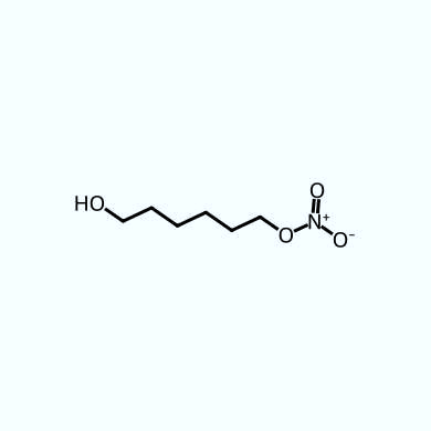 O=[N+]([O-])OCCCCCCO